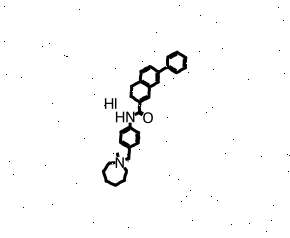 C[N+]1(Cc2ccc(NC(=O)C3=Cc4cc(-c5ccccc5)ccc4CC3)cc2)CCCCCC1.I